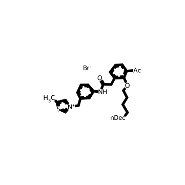 CCCCCCCCCCCCCCOc1c(CC(=O)Nc2cccc(C[n+]3csc(C)c3)c2)cccc1C(C)=O.[Br-]